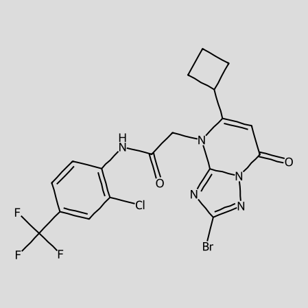 O=C(Cn1c(C2CCC2)cc(=O)n2nc(Br)nc12)Nc1ccc(C(F)(F)F)cc1Cl